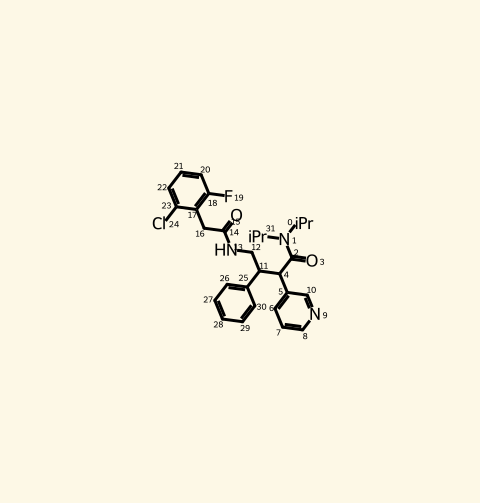 CC(C)N(C(=O)C(c1cccnc1)C(CNC(=O)Cc1c(F)cccc1Cl)c1ccccc1)C(C)C